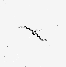 CCCCCCCCCCCCCCCN1C=CN(CCCCCCCCCCCCCC)C1CCCCCCCC